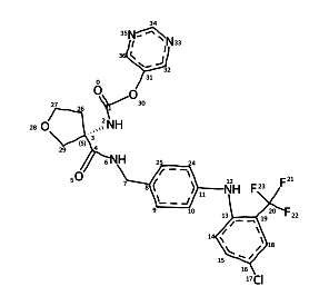 O=C(N[C@@]1(C(=O)NCc2ccc(Nc3ccc(Cl)cc3C(F)(F)F)cc2)CCOC1)Oc1cncnc1